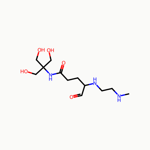 CNCCNC(C=O)CCC(=O)NC(CO)(CO)CO